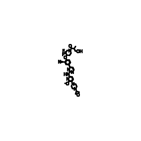 COc1nc(Nc2nccc(-c3ccc(OC4CCN(C(=O)[C@@H](C)CO)CC4(F)F)c(C#N)c3)n2)ccc1N1CCN(C2COC2)CC1